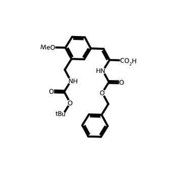 COc1ccc(/C=C(\NC(=O)OCc2ccccc2)C(=O)O)cc1CNC(=O)OC(C)(C)C